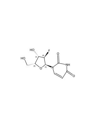 O=c1ccn([C@H]2O[C@H](CO)[C@H](O)[C@H]2F)c(=O)[nH]1